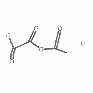 CC(=O)OC(=O)C(=O)[O-].[Li+]